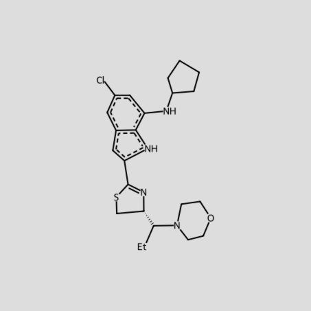 CCC([C@@H]1CSC(c2cc3cc(Cl)cc(NC4CCCC4)c3[nH]2)=N1)N1CCOCC1